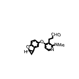 CNc1nccc(Oc2ccc3c(c2)C2C[C@H]2O3)c1CCC=O